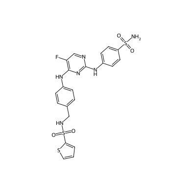 NS(=O)(=O)c1ccc(Nc2ncc(F)c(Nc3ccc(CNS(=O)(=O)c4cccs4)cc3)n2)cc1